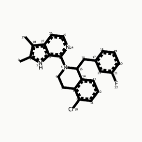 Cc1[nH]c2c(N3CCc4c(Cl)cccc4C3Cc3cccc(F)c3)nccc2c1C